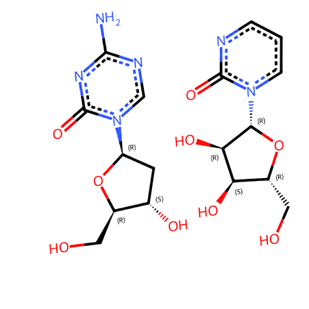 Nc1ncn([C@H]2C[C@H](O)[C@@H](CO)O2)c(=O)n1.O=c1ncccn1[C@@H]1O[C@H](CO)[C@@H](O)[C@H]1O